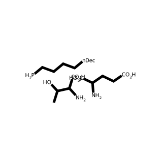 CC(O)C(N)C(=O)O.CCCCCCCCCCCCCCP.NC(CCC(=O)O)C(=O)O